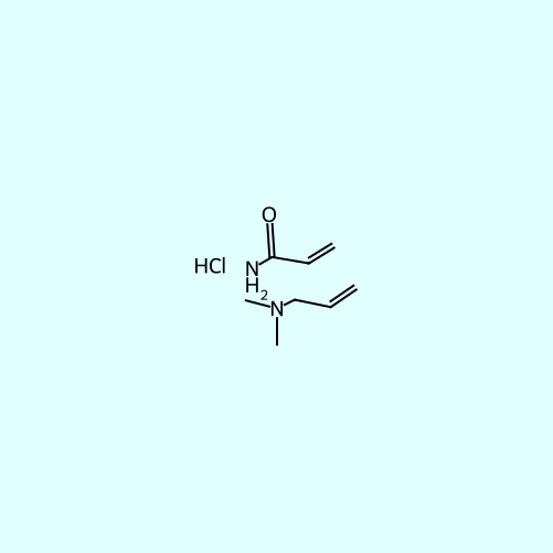 C=CC(N)=O.C=CCN(C)C.Cl